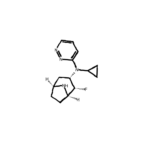 F[C@@H]1[C@H]2CC[C@@H](C[C@@H]1N(c1cccnn1)C1CC1)N2